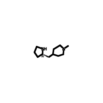 CN1CCC(C[C@@H]2CCCN2)CC1